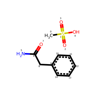 CS(=O)(=O)O.NC(=O)Cc1ccccc1